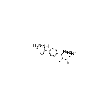 [N-]=[N+]=NC(c1ccc(C(=O)NN)cc1)C(F)C(F)F